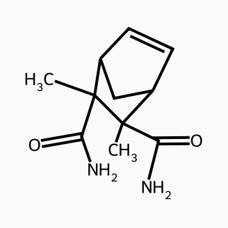 CC1(C(N)=O)C2C=CC(C2)C1(C)C(N)=O